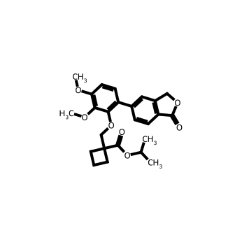 COc1ccc(-c2ccc3c(c2)COC3=O)c(OCC2(C(=O)OC(C)C)CCC2)c1OC